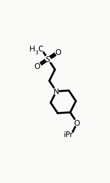 CC(C)OC1CCN(CCS(C)(=O)=O)CC1